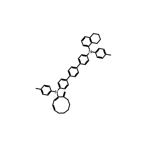 C=C1CCCCC/C=C\C=C/1N(c1ccc(C)cc1)c1ccc(-c2ccc(-c3ccc(N(c4ccc(C)cc4)c4cccc5c4CCCC5)cc3)cc2)cc1